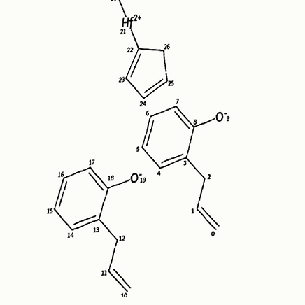 C=CCc1ccccc1[O-].C=CCc1ccccc1[O-].[CH3][Hf+2][C]1=CC=CC1